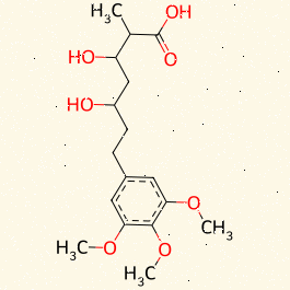 COc1cc(CCC(O)CC(O)C(C)C(=O)O)cc(OC)c1OC